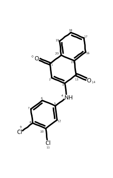 O=C1C=C(Nc2ccc(Cl)c(Cl)c2)C(=O)c2ccccc21